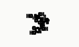 C[C@H]1[C@H](NC(=O)/C(=N\OC(O)C2=CC(=O)C(O)C=N2)c2cccs2)C(=O)N1S(=O)(=O)O